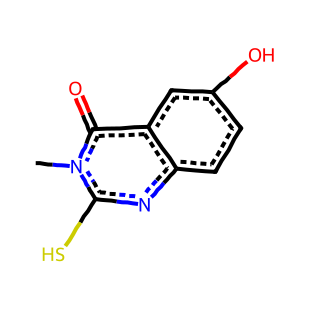 Cn1c(S)nc2ccc(O)cc2c1=O